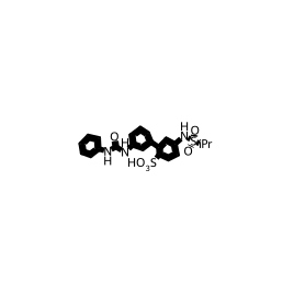 CC(C)S(=O)(=O)Nc1ccc(S(=O)(=O)O)c(-c2cccc(NC(=O)Nc3ccccc3)c2)c1